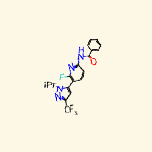 CC(C)n1nc(C(F)(F)F)cc1-c1ccc(NC(=O)c2ccccc2)nc1F